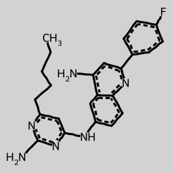 CCCCCc1cc(Nc2ccc3nc(-c4ccc(F)cc4)cc(N)c3c2)nc(N)n1